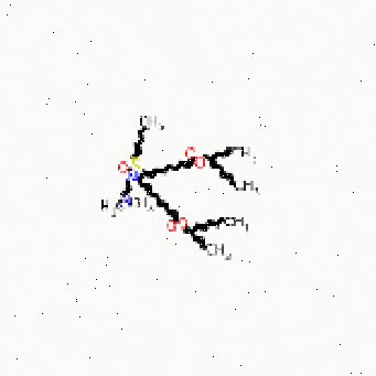 CCCCCCCSC(=O)N(CCCN(C)C)C(CCCCCCCCC(=O)OCC(CCCC)CCCCCC)CCCCCCCCC(=O)OCC(CCCC)CCCCCC